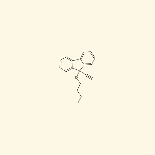 C#CC1(OCCCC)c2ccccc2-c2ccccc21